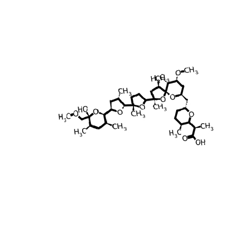 COC[C@]1(O)O[C@@H]([C@H]2C[C@H](C)[C@H]([C@]3(C)CCC([C@@]4(C)C[C@@H](C)[C@@]5(O[C@H](C[C@H]6CC[C@H](C)C([C@@H](C)C(=O)O)O6)C[C@@H](OC)[C@H]5C)O4)O3)O2)[C@@H](C)C[C@H]1C